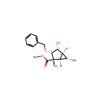 CC(C)(C)OC(=O)[C@@]1(C)[C@H]2[C@@H]([C@@H](O)[C@H]1OCc1ccccc1)[C@@H]2C(C)(C)C